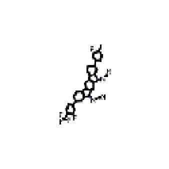 Cc1ccc(-c2ccc3c(c2)/c(=N\C#N)c2cc4/c(=N\C#N)c5cc(-c6ccc(C(F)(F)F)c(F)c6)ccc5c4cc23)cc1F